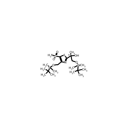 CC(C)(C)[Si](C)(C)OCc1nc([C@](C)(O)CO[Si](C)(C)C(C)(C)C)sc1S(N)(=O)=O